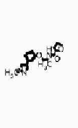 C[C@H](COc1c[c]cc(-c2cnn(C)c2)c1)NC(=O)[C@H]1CCCO1